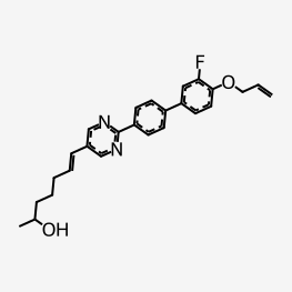 C=CCOc1ccc(-c2ccc(-c3ncc(/C=C/CCCC(C)O)cn3)cc2)cc1F